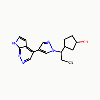 N#CC[C@H](C1CCC(O)C1)n1cc(-c2cnnc3[nH]ccc23)cn1